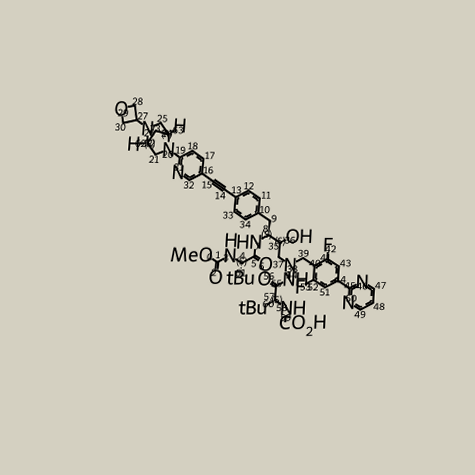 COC(=O)N[C@H](C(=O)N[C@@H](Cc1ccc(C#Cc2ccc(N3C[C@H]4C[C@@H]3CN4C3COC3)nc2)cc1)[C@@H](O)CN(Cc1c(F)cc(-c2ncccn2)cc1F)NC(=O)[C@@H](NC(=O)O)C(C)(C)C)C(C)(C)C